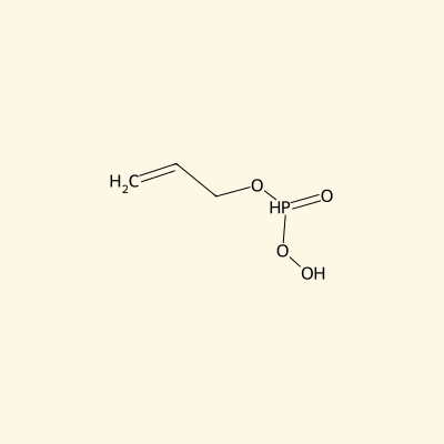 C=CCO[PH](=O)OO